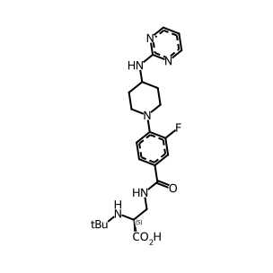 CC(C)(C)N[C@@H](CNC(=O)c1ccc(N2CCC(Nc3ncccn3)CC2)c(F)c1)C(=O)O